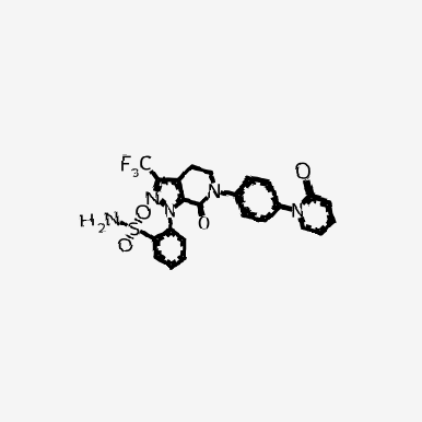 NS(=O)(=O)c1ccccc1-n1nc(C(F)(F)F)c2c1C(=O)N(c1ccc(-n3ccccc3=O)cc1)CC2